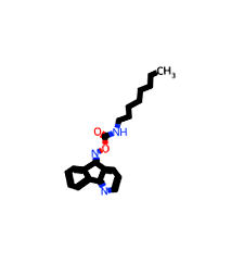 CCCCCCCCNC(=O)ON=C1c2ccccc2-c2ncccc21